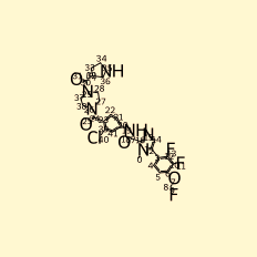 Cn1c(-c2ccc(OCF)c(F)c2F)cnc1C(=O)Nc1ccc(C(=O)N2CCN(C(=O)[C@@H]3CCNC3)CC2)c(Cl)c1